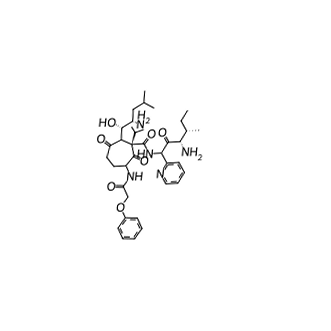 CC[C@H](C)[C@H](N)C(=O)C(NC(=O)[C@]1(C(C)C)C(=O)C(NC(=O)COc2ccccc2)CCC(=O)C1[C@H](O)[C@@H](N)CC(C)C)c1ccccn1